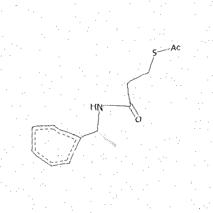 CC(=O)SCCC(=O)N[C@H](C)c1ccccc1